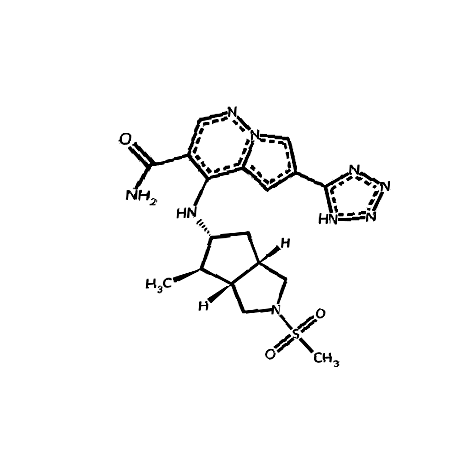 C[C@@H]1[C@H]2CN(S(C)(=O)=O)C[C@H]2C[C@H]1Nc1c(C(N)=O)cnn2cc(-c3nnn[nH]3)cc12